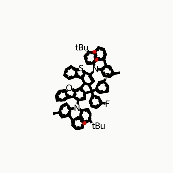 Cc1ccc(N(C2=CC3C(c4c2sc2ccccc42)c2c(cc(N(c4ccc(C(C)(C)C)cc4)c4ccc(C)cc4-c4ccccc4)c4c2oc2ccccc24)C3(c2cccc(F)c2)c2cccc(F)c2)c2ccc(C(C)(C)C)cc2)c(-c2ccccc2)c1